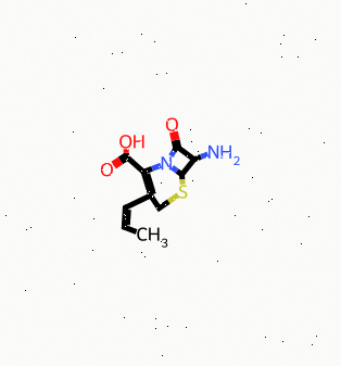 C/C=C\C1=C(C(=O)O)N2C(=O)C(N)C2SC1